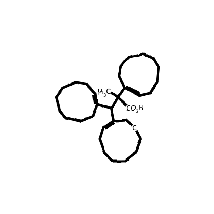 CC(C(=O)O)(C1=CCCCCCCCC1)C(C1=CCCCCCCCC1)C1=CCCCCCCCC1